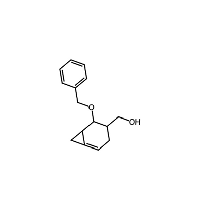 OCC1CC=C2CC2C1OCc1ccccc1